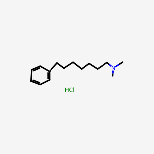 CN(C)CCCCCCCc1ccccc1.Cl